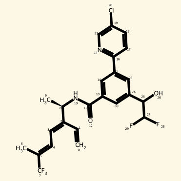 C=C/C(=C\C=C(/C)C(F)(F)F)[C@@H](C)NC(=O)c1cc(-c2ccc(Cl)cn2)cc(C(O)C(F)F)c1